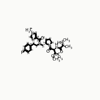 CN[C@@H](C)C(=O)N[C@H](C(=O)N1CCC[C@H]1CN(CCc1ccc(F)cc1)C(=O)c1cn(C)cn1)[C@@H](C)OC